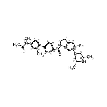 CC(=O)N(C)c1ccc(-c2ccc(C(=O)N3CCc4cc(F)c(N5C[C@@H](C)N[C@@H](C)C5)cc43)cc2)c(C)c1